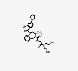 C[C@@H]1CN(C(=O)c2ccc(N3CCCC3)cc2Cl)c2ccccc2CN1C(=O)NCC(=O)N(CCO)CCO